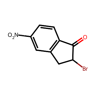 O=C1c2ccc([N+](=O)[O-])cc2CC1Br